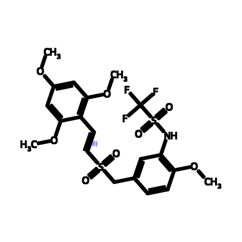 COc1cc(OC)c(/C=C/S(=O)(=O)Cc2ccc(OC)c(NS(=O)(=O)C(F)(F)F)c2)c(OC)c1